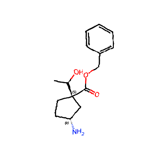 CC(O)[C@]1(C(=O)OCc2ccccc2)CC[C@@H](N)C1